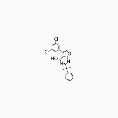 CC(C)(c1ccccc1)c1nc(O)c2c(-c3cc(Cl)cc(Cl)c3)coc2n1